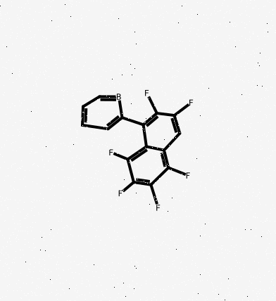 Fc1cc2c(F)c(F)c(F)c(F)c2c(-c2bcccc2)c1F